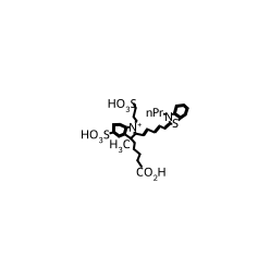 CCCN1\C(=C/C=C/C=C/C2=[N+](CCCS(=O)(=O)O)c3ccc(S(=O)(=O)O)cc3C2(C)CCCCCC(=O)O)Sc2ccccc21